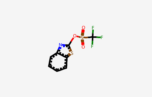 O=S(=O)(Oc1nc2ccccc2s1)C(F)(F)F